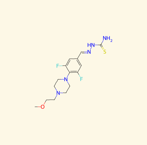 COCCN1CCN(c2c(F)cc(C=NNC(N)=S)cc2F)CC1